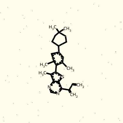 C=CC(=C)c1ncnc2c(C)c(-c3c(C)cc(C4CCC(C)(C)CC4)cc3C)sc12